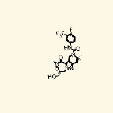 C[C@@H]1Cc2nn3c(c2CN1C(=O)Nc1ccc(F)c(C(F)(F)F)c1)C(=O)N(C)O[C@H](CO)C3